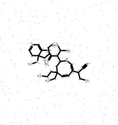 CCC[C@H](C)C1(OC)CC=NC=C1NC(=O)C(C(N)N)C1CC(CC)(CCC)/C=C\C(C(C#N)CC)=C/N1